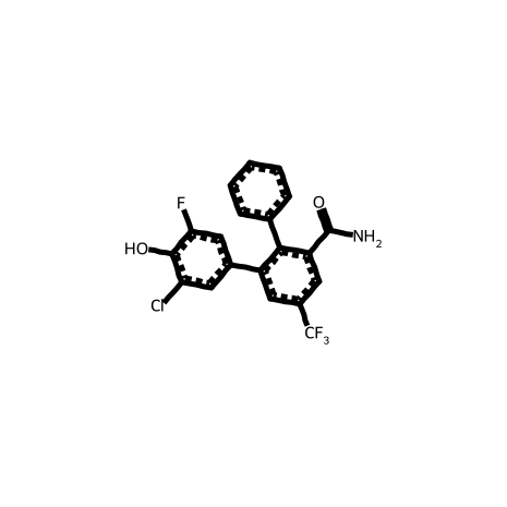 NC(=O)c1cc(C(F)(F)F)cc(-c2cc(F)c(O)c(Cl)c2)c1-c1ccccc1